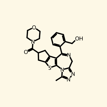 Cc1nnc2n1-c1sc3c(c1C(c1ccccc1CO)=NC2)CC(C(=O)N1CCOCC1)C3